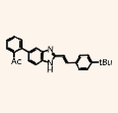 CC(=O)c1ccccc1-c1ccc2[nH]c(C=Cc3ccc(C(C)(C)C)cc3)nc2c1